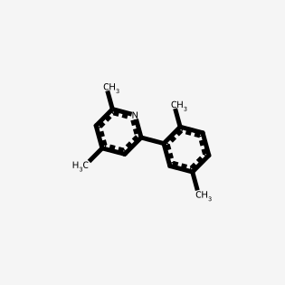 Cc1cc(C)nc(-c2cc(C)ccc2C)c1